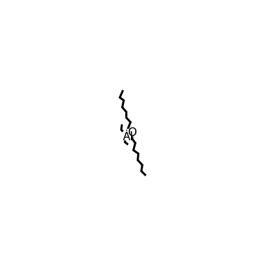 CCCCCCCCOCCCCCCCC.C[CH2][Al][CH2]C